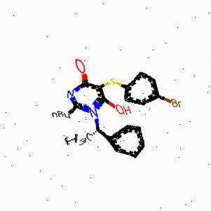 CCCCc1nc(=O)c(Sc2ccc(Br)cc2)c(O)n1[C@@H](C)c1ccccc1